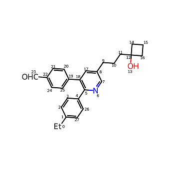 CCc1ccc(-c2ncc(CCCC3(O)CCC3)cc2-c2ccc(C=O)cc2)cc1